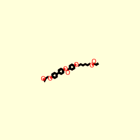 C=CC(=O)OCCCCCCOc1ccc(C(=O)Oc2ccc(-c3ccc(OCC4CO4)cc3)cc2)cc1